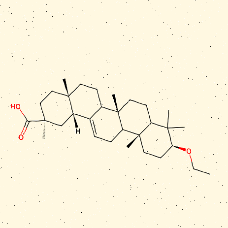 CCO[C@H]1CC[C@@]2(C)C(CC[C@@]3(C)C4CC[C@@]5(C)CC[C@](C)(C(=O)O)C[C@H]5C4=CCC32)C1(C)C